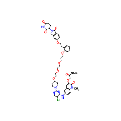 CNC(=O)COc1cc2cc(Nc3nc(N4CCC(OCCOCCOCCCOc5ccccc5CCOc5ccc6c(c5)CN(C5CCC(=O)NC5=O)C6=O)CC4)ncc3Cl)ccc2n(C)c1=O